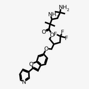 CC(C)(N)CC(N)C(C)(C)C(=O)OCC(COc1ccc2cc(-c3cccnc3)oc2c1)CC(F)(F)F